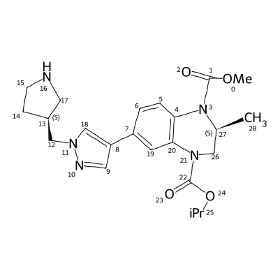 COC(=O)N1c2ccc(-c3cnn(C[C@H]4CCNC4)c3)cc2N(C(=O)OC(C)C)C[C@@H]1C